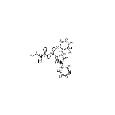 CCNC(=O)OC(=O)c1nn(-c2cccnc2)cc1-c1ccccc1C